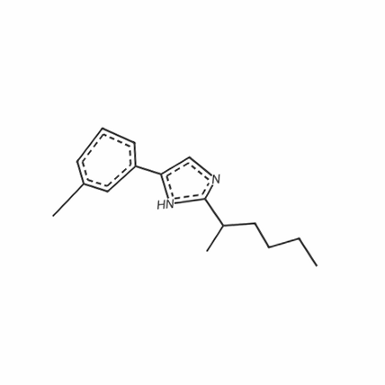 CCCCC(C)c1ncc(-c2cccc(C)c2)[nH]1